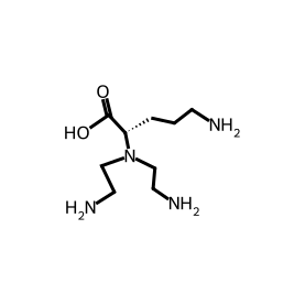 NCCC[C@@H](C(=O)O)N(CCN)CCN